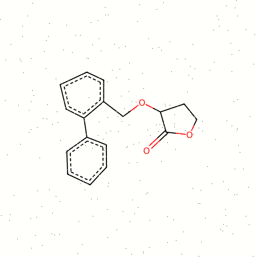 O=C1OCCC1OCc1ccccc1-c1ccccc1